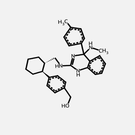 CNC1(c2ccc(C)cc2)N=C(NC[C@H]2CCCC[C@@H]2c2ccc(CO)cc2)Nc2ccccc21